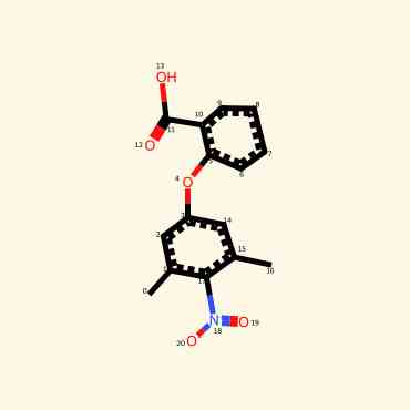 Cc1cc(Oc2ccccc2C(=O)O)cc(C)c1[N+](=O)[O-]